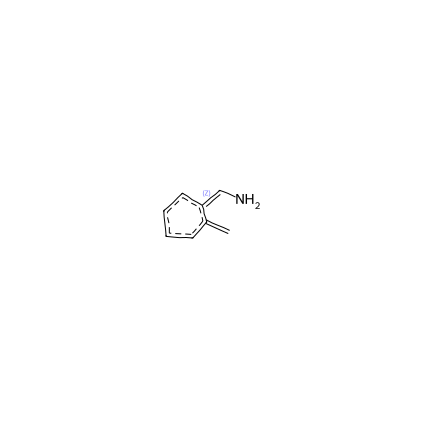 C=c1cccc/c1=C/N